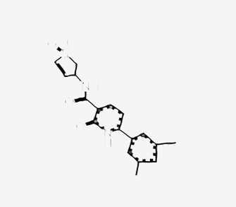 Cc1cc(C)cc(-c2ccc(C(=O)NC3C=CS(=O)(=O)C3)c(=O)[nH]2)c1